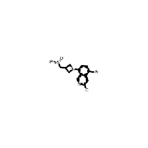 CC(C)c1ccc(N2CC(C[S@+]([O-])C(C)C)C2)c2cnc(Cl)cc12